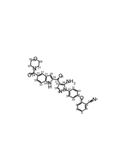 N#Cc1ccccc1Oc1ccc(-n2ncc(C(=O)c3cc4cc(C(=O)N5CCOCC5)ccc4[nH]3)c2N)cc1